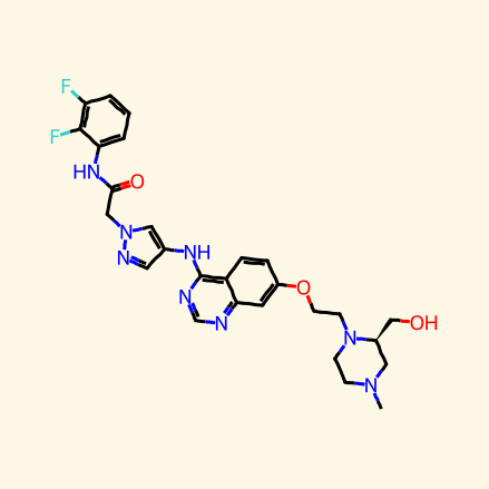 CN1CCN(CCOc2ccc3c(Nc4cnn(CC(=O)Nc5cccc(F)c5F)c4)ncnc3c2)[C@@H](CO)C1